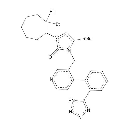 CCCCc1cn(C2CCCCCC2(CC)CC)c(=O)n1Cc1cnccc1-c1ccccc1-c1nnn[nH]1